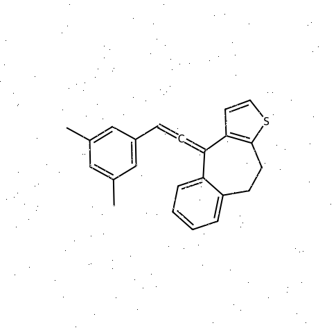 Cc1cc(C)cc(C=C=C2c3ccccc3CCc3sccc32)c1